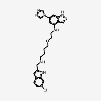 Clc1ccc2cc(CNCCCCOCCNc3cc(-n4cnnc4)cc4[nH]ncc34)[nH]c2c1